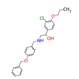 CCCOc1ccc(C(O)CNCc2ccc(OCc3ccccc3)cc2)cc1Cl